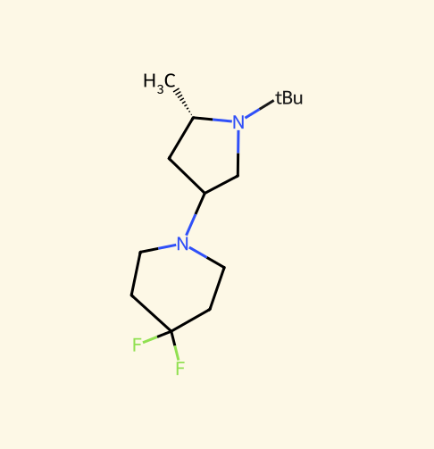 C[C@H]1CC(N2CCC(F)(F)CC2)CN1C(C)(C)C